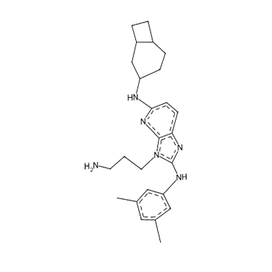 Cc1cc(C)cc(Nc2nc3ccc(NC4CCC5CCC5C4)nc3n2CCCN)c1